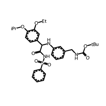 CCOc1cc(C(Nc2cccc(CNC(=O)OC(C)(C)C)c2)C(=O)NS(=O)(=O)c2ccccc2)ccc1OC(C)C